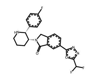 O=C1c2cc(-c3nnc(C(F)F)o3)ccc2CN1[C@@H]1CCCN[C@@H]1c1ccc(F)cc1